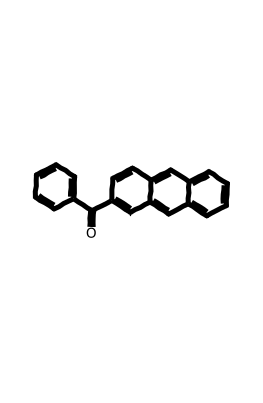 O=C(c1[c]c2cc3ccccc3cc2cc1)c1ccccc1